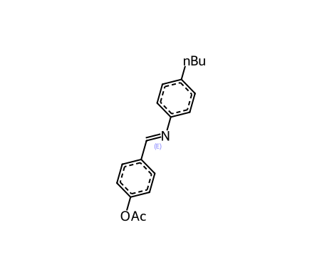 CCCCc1ccc(/N=C/c2ccc(OC(C)=O)cc2)cc1